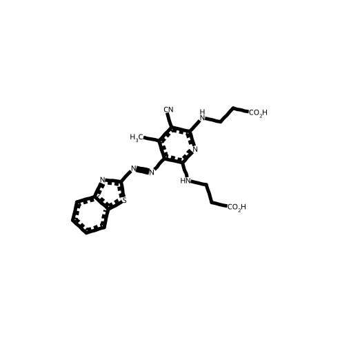 Cc1c(C#N)c(NCCC(=O)O)nc(NCCC(=O)O)c1N=Nc1nc2ccccc2s1